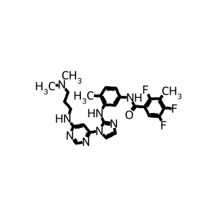 Cc1ccc(NC(=O)c2cc(F)c(F)c(C)c2F)cc1Nc1nccn1-c1cc(NCCCN(C)C)ncn1